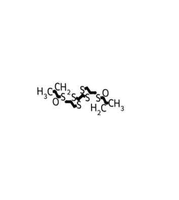 C=C(C)C(=O)SCC1CSC(C2SCC(CSC(=O)C(=C)C)S2)S1